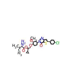 COc1cc(-n2cnc3cc(-c4ccc(Cl)cc4)sc3c2=O)ccc1OC[C@H](OC(=O)C(N)C(C)C)C1CC1